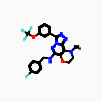 CN1CCOc2c(NCc3ccc(F)cc3)nn3c(-c4cccc(OC(F)(F)F)c4)nnc3c21